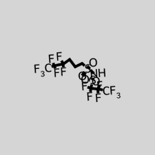 O=S(=O)(CCCC(F)(F)C(F)(F)C(F)(F)F)NS(=O)(=O)C(F)(F)C(F)(F)C(F)(F)F